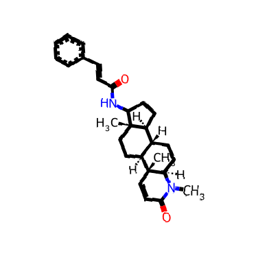 CN1C(=O)C=C[C@]2(C)[C@H]3CC[C@]4(C)C(NC(=O)C=Cc5ccccc5)CC[C@H]4[C@@H]3CC[C@@H]12